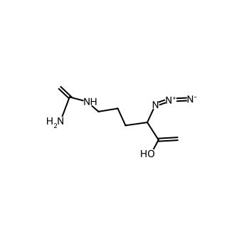 C=C(N)NCCCC(N=[N+]=[N-])C(=C)O